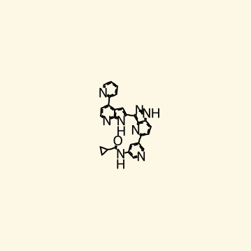 O=C(Nc1cncc(-c2ccc3[nH]nc(-c4cc5c(-c6ccccn6)ccnc5[nH]4)c3n2)c1)C1CC1